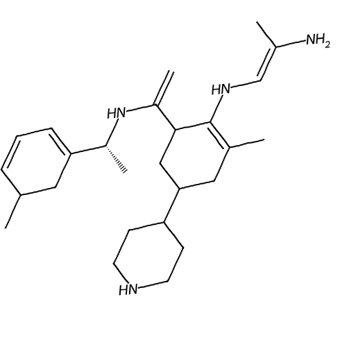 C=C(N[C@H](C)C1=CC=CC(C)C1)C1CC(C2CCNCC2)CC(C)=C1N/C=C(\C)N